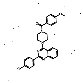 COc1ccc(C(=O)N2CCN(c3nc(-c4ccc(Cl)cc4)nc4ccccc34)CC2)cc1